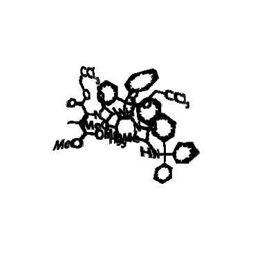 COC(OC)C(C)=C(C(=O)OCC(Cl)(Cl)Cl)N1C(=O)C(NC(c2ccccc2)(c2ccccc2)c2ccccc2)C1[S][Hg][S]C1C(NC(c2ccccc2)(c2ccccc2)c2ccccc2)C(=O)N1C(C(=O)OCC(Cl)(Cl)Cl)=C(C)C(OC)OC